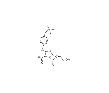 C[N+](C)(C)Cc1ccc(SC2SC3[C@@H](CCO)C(=O)N3C2C(=O)[O-])cc1